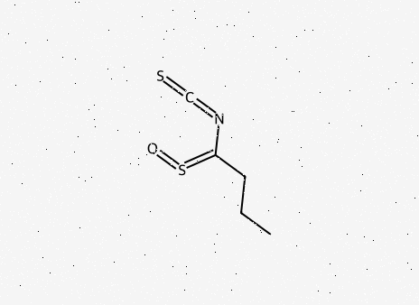 CCCC(N=C=S)=S=O